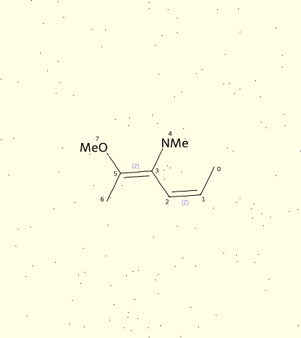 C/C=C\C(NC)=C(/C)OC